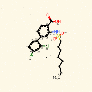 CCCCCCCCS(=O)(=O)Nc1cc(-c2ccc(Cl)cc2Cl)ccc1C(=O)O